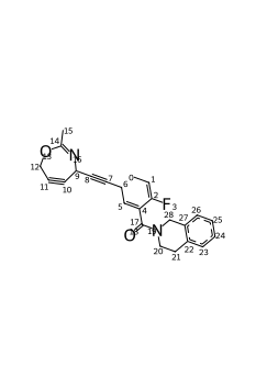 C/C=C(F)\C(=C/CC#CC1C#CCOC(C)=N1)C(=O)N1CCc2ccccc2C1